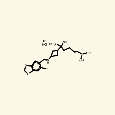 Cl.Cl.NC(CCCCB(O)O)(C(=O)O)C1CC(NCc2cc3c(cc2Cl)OCO3)C1